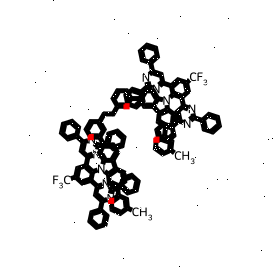 Cc1cccc(-c2ccc3c(c2)c2cc(-c4cccc(CCc5cccc(-c6ccc7c8ccc(-c9cccc(C)c9)cc8n(-c8c(-c9cc(-c%10ccccc%10)nc(-c%10ccccc%10)n9)cc(C(F)(F)F)cc8-c8cc(-c9ccccc9)nc(-c9ccccc9)n8)c7c6)c5)c4)ccc2n3-c2c(-c3cc(-c4ccccc4)nc(-c4ccccc4)n3)cc(C(F)(F)F)cc2-c2cc(-c3ccccc3)nc(-c3ccccc3)n2)c1